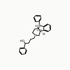 OC(CCCN1CC[C@H]2[C@H](C1)c1ccccc1N2c1ccccc1)c1ccccc1